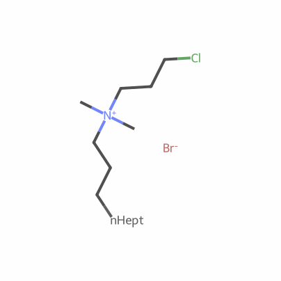 CCCCCCCCCC[N+](C)(C)CCCCl.[Br-]